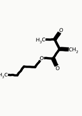 C=C(C(C)=O)C(=O)OCCCC